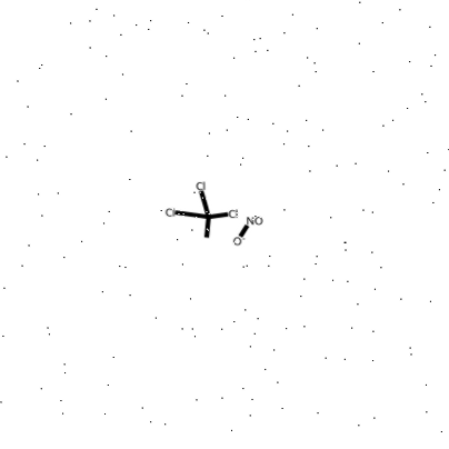 CC(Cl)(Cl)Cl.O=[NH+][O-]